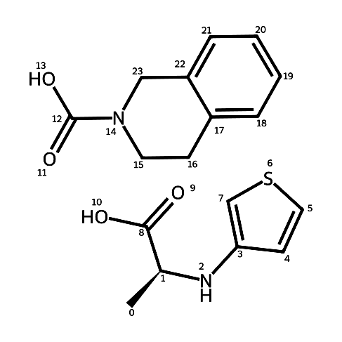 C[C@H](Nc1ccsc1)C(=O)O.O=C(O)N1CCc2ccccc2C1